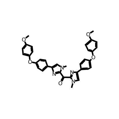 COc1ccc(Oc2ccc(-c3cn(C)c(C(=O)c4nc(-c5ccc(Oc6ccc(OC)cc6)cc5)cn4C)n3)cc2)cc1